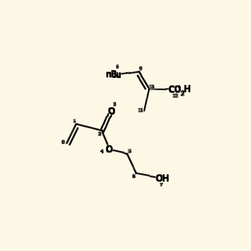 C=CC(=O)OCCO.CCCCC=C(C)C(=O)O